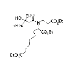 CCCCCCC(C)(O)CC(=O)N(CCC(=O)OCC)C(CCCCCCC(=O)OCC)C(=O)OCC